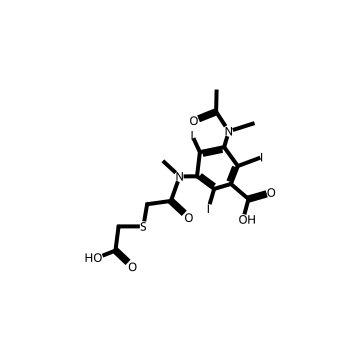 CC(=O)N(C)c1c(I)c(C(=O)O)c(I)c(N(C)C(=O)CSCC(=O)O)c1I